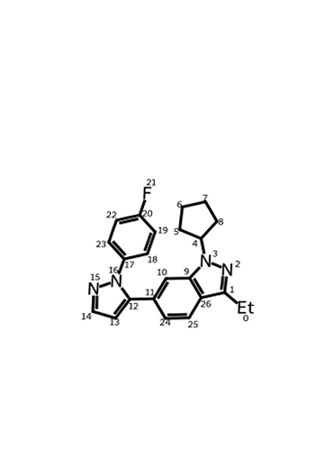 CCc1nn(C2CCCC2)c2cc(-c3ccnn3-c3ccc(F)cc3)ccc12